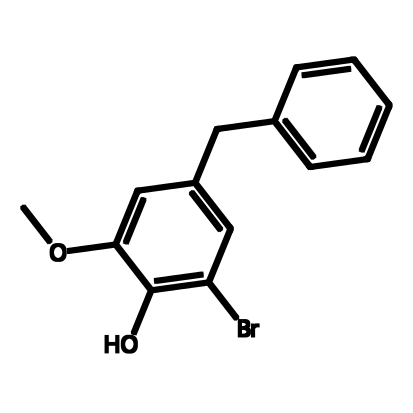 COc1cc(Cc2ccccc2)cc(Br)c1O